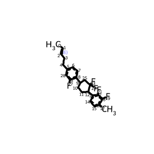 C/C=C/CCc1ccc(C2CCC(c3ccc(C)c(F)c3F)C(F)(F)C2)c(F)c1